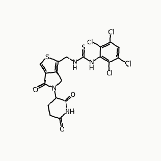 O=C1CCC(N2Cc3c(csc3CNC(=S)Nc3c(Cl)c(Cl)cc(Cl)c3Cl)C2=O)C(=O)N1